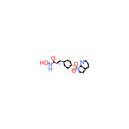 O=C(/C=C/c1ccc(S(=O)(=O)n2ccc3cccnc32)cc1)NO